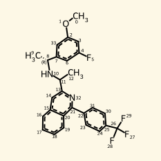 COc1cc(F)cc([C@@H](C)NC(C)c2cc3ccccc3c(-c3ccc(C(F)(F)F)cc3)n2)c1